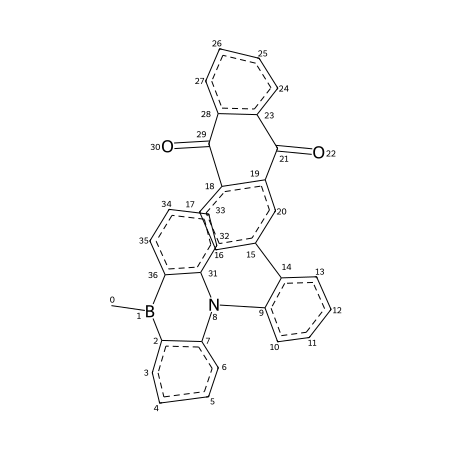 CB1c2ccccc2N(c2ccccc2-c2ccc3c(c2)C(=O)c2ccccc2C3=O)c2ccccc21